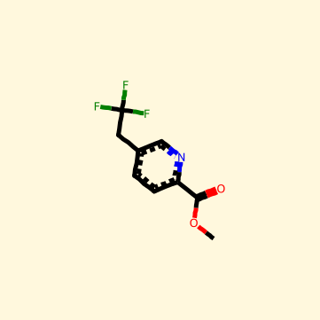 COC(=O)c1ccc(CC(F)(F)F)cn1